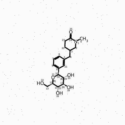 CN1CC(Cc2cccc([C@@H]3O[C@H](CO)[C@@H](O)[C@H](O)[C@H]3O)c2)CCC1=O